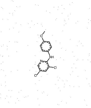 COc1ccc(Nc2ncc(Cl)cc2Cl)cc1